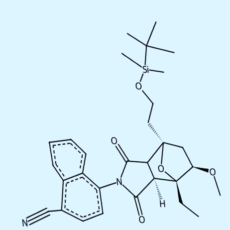 CC[C@@]12O[C@](CCO[Si](C)(C)C(C)(C)C)(C[C@H]1OC)C1C(=O)N(c3ccc(C#N)c4ccccc34)C(=O)[C@@H]12